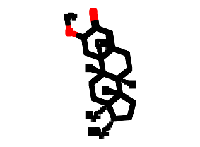 CCCOC1C[C@@]2(C)C(=CC1=O)CC[C@H]1[C@@H]3CC[C@H](C(=O)O)[C@@]3(C)CC[C@@H]12